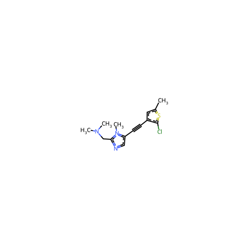 Cc1cc(C#Cc2cnc(CN(C)C)n2C)c(Cl)s1